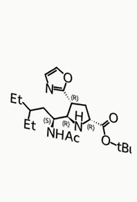 CCC(CC)C[C@H](NC(C)=O)[C@@H]1N[C@@H](C(=O)OC(C)(C)C)C[C@H]1c1ncco1